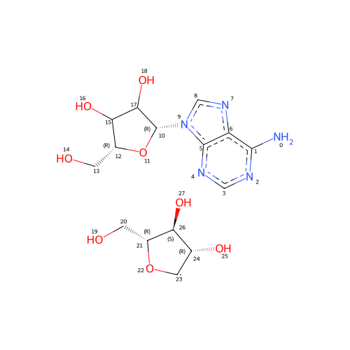 Nc1ncnc2c1ncn2[C@@H]1O[C@H](CO)C(O)C1O.OC[C@H]1O[CH][C@@H](O)[C@@H]1O